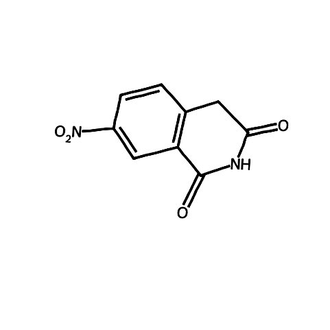 O=C1Cc2ccc([N+](=O)[O-])cc2C(=O)N1